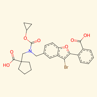 O=C(O)c1ccccc1-c1oc2ccc(CN(CC3(C(=O)O)CCCC3)C(=O)OC3CC3)cc2c1Br